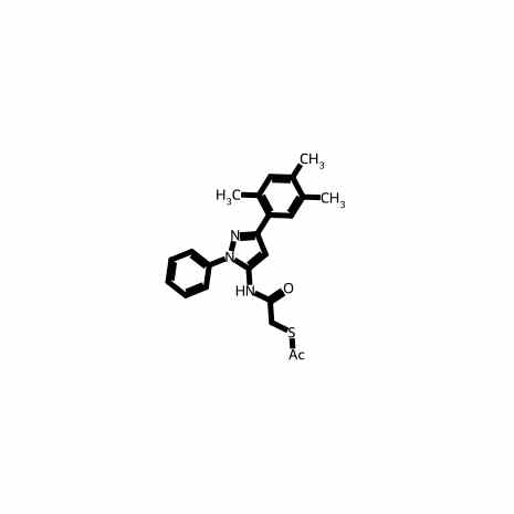 CC(=O)SCC(=O)Nc1cc(-c2cc(C)c(C)cc2C)nn1-c1ccccc1